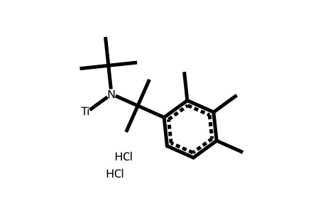 Cc1ccc(C(C)(C)[N]([Ti])C(C)(C)C)c(C)c1C.Cl.Cl